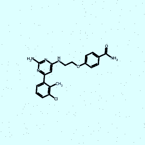 Cc1c(Cl)cccc1-c1cc(NCCOc2ccc(C(N)=O)cc2)nc(N)n1